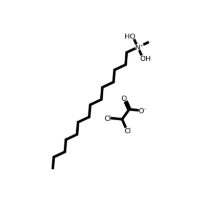 CCCCCCCCCCCCCC[N+](C)(O)O.O=C([O-])C(Cl)Cl